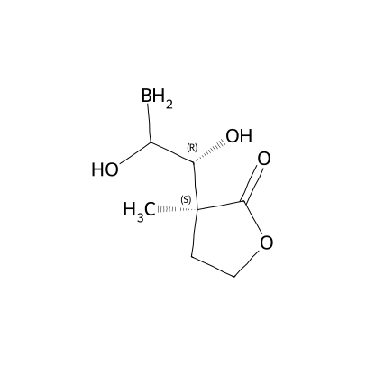 BC(O)[C@H](O)[C@]1(C)CCOC1=O